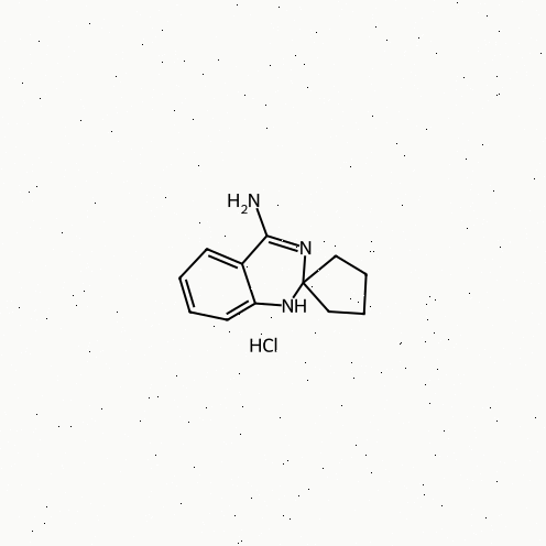 Cl.NC1=NC2(CCCC2)Nc2ccccc21